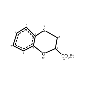 CCOC(=O)C1CSc2ccccc2O1